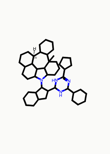 CC12CCCC3C1C1C4C(CCC[C@H]4C4CCCCC42)CCC1N3C1C2CCCCC2CC1C1NC(C2CCCC2)=NC(C2CCCCC2)N1